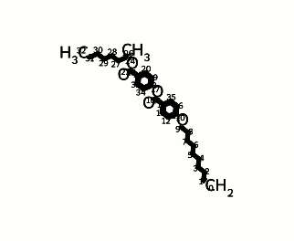 C=CCCCCCCCCOc1ccc(C(=O)Oc2ccc(C(=O)OC(C)CCCCCC)cc2)cc1